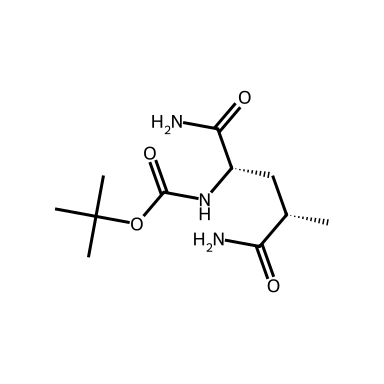 C[C@@H](C[C@H](NC(=O)OC(C)(C)C)C(N)=O)C(N)=O